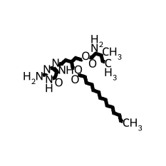 CCCCCCCCCCCCCC(=O)OCC(CCOC(=O)[C@@H](N)[C@@H](C)CC)Cc1nc2nc(N)[nH]c(=O)c2[nH]1